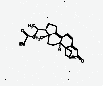 CC(=O)OC[C@]12CCC(=O)C=C1C=CC1=C3CC[C@H]([C@H](C)OC(=O)C(C)(C)C)[C@@]3(C)CC[C@@H]12